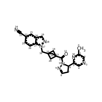 Cc1cncc(C2CC=NN2C(=O)C23CC(Cn4ncc5cc(C#N)ccc54)(C2)C3)n1